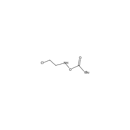 CC(C)(C)C(=O)ONCCCl